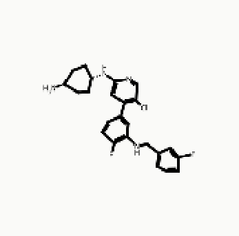 N[C@H]1CC[C@H](Nc2cc(-c3ccc(F)c(NCc4cccc(F)c4)c3)c(Cl)cn2)CC1